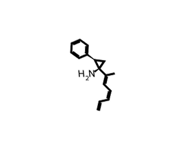 C=C/C=C\C=C(/C)[C@@]1(N)C[C@@H]1c1ccccc1